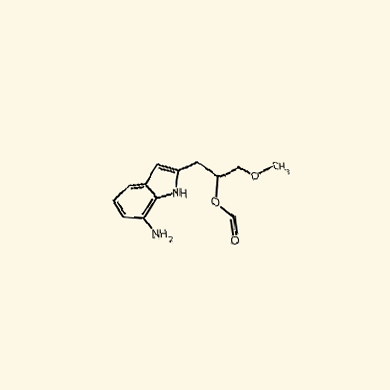 COCC(Cc1cc2cccc(N)c2[nH]1)OC=O